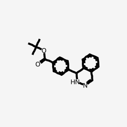 CC(C)(C)OC(=O)c1ccc(C2NN=Cc3ccccc32)cc1